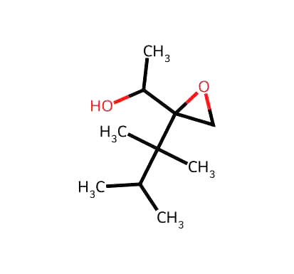 CC(C)C(C)(C)C1(C(C)O)CO1